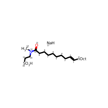 CCCCCCCCC=CCCCCCCCC(=O)N(C)CCS(=O)(=O)O.[NaH]